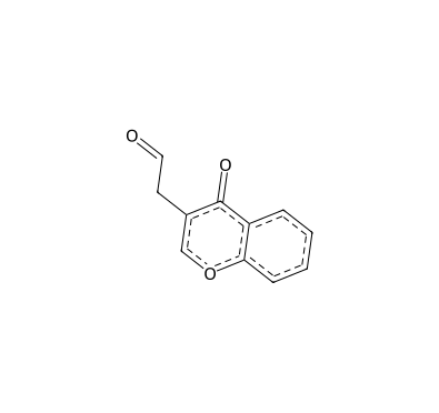 O=CCc1coc2ccccc2c1=O